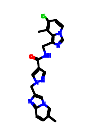 Cc1ccc2nc(Cn3cc(C(=O)NCc4ncn5ccc(Cl)c(C)c45)cn3)cn2c1